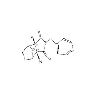 O=C1[C@@H]2C3CCC(O3)[C@@H]2C(=O)N1Cc1ccccc1